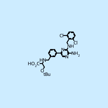 CC(C)(C)OCC(NCc1cccc(-c2cnc(N)c(NCc3c(Cl)cccc3Cl)n2)c1)C(=O)O